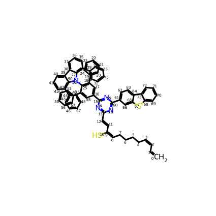 C=C/C=C\CCCC/C=C(S)\C=C\c1nc(-c2cc(-c3ccccc3)c(-n3c4c(-c5ccccc5)cccc4c4cccc(-c5ccccc5)c43)c(-c3ccccc3)c2)nc(-c2ccc3c(c2)sc2ccccc23)n1